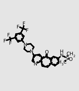 C=S(C)(=O)Nc1ccc2ccc3ncc(N4CCN(c5cc(C(F)(F)F)cc(C(F)(F)F)c5)CC4)cc3c(=O)c2c1